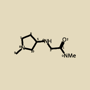 CNC(=O)CNC1CCN(C)C1